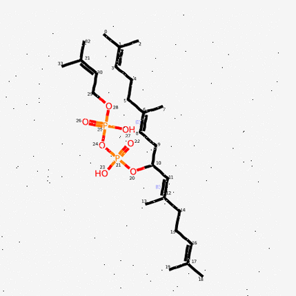 CC(C)=CCC/C(C)=C/CC(/C=C(\C)CCC=C(C)C)OP(=O)(O)OP(=O)(O)OCC=C(C)C